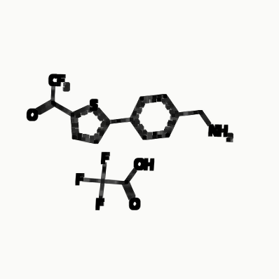 NCc1ccc(-c2ccc(C(=O)C(F)(F)F)s2)cc1.O=C(O)C(F)(F)F